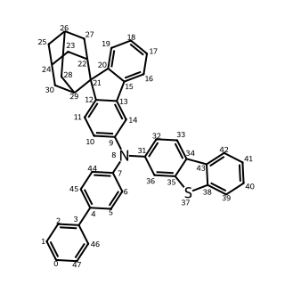 c1ccc(-c2ccc(N(c3ccc4c(c3)-c3ccccc3C43C4CC5CC(C4)CC3C5)c3ccc4c(c3)sc3ccccc34)cc2)cc1